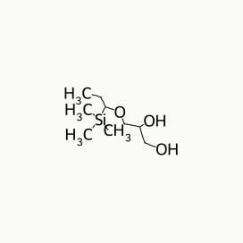 CCC(OCC(O)CO)[Si](C)(C)C